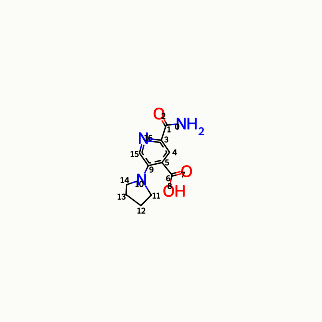 NC(=O)c1cc(C(=O)O)c(N2CCCC2)cn1